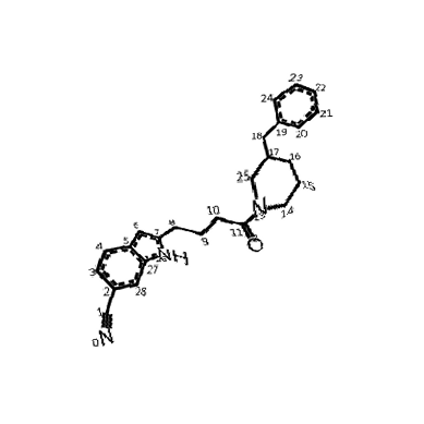 N#Cc1ccc2cc(CCCC(=O)N3CCCC(Cc4ccccc4)C3)[nH]c2c1